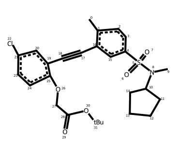 Cc1ccc(S(=O)(=O)N(C)C2CCCC2)cc1C#Cc1cc(Cl)ccc1OCC(=O)OC(C)(C)C